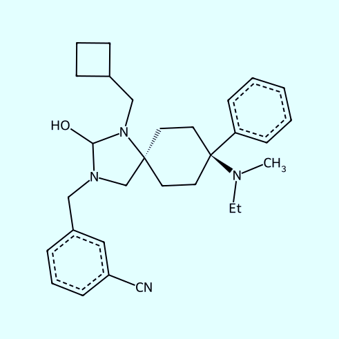 CCN(C)[C@]1(c2ccccc2)CC[C@]2(CC1)CN(Cc1cccc(C#N)c1)C(O)N2CC1CCC1